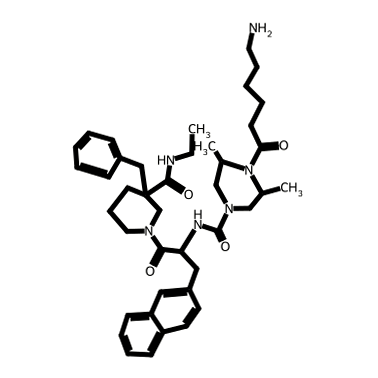 CCNC(=O)C1(Cc2ccccc2)CCCN(C(=O)C(Cc2ccc3ccccc3c2)NC(=O)N2CC(C)N(C(=O)CCCCCN)C(C)C2)C1